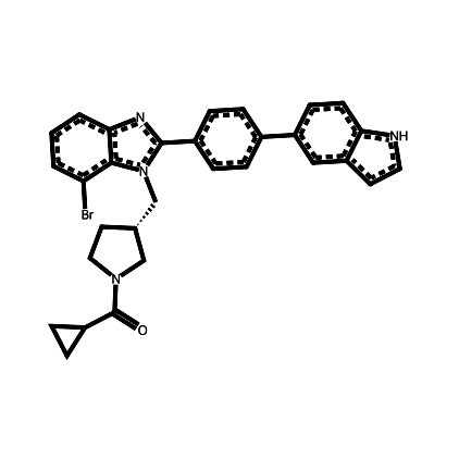 O=C(C1CC1)N1CC[C@H](Cn2c(-c3ccc(-c4ccc5[nH]ccc5c4)cc3)nc3cccc(Br)c32)C1